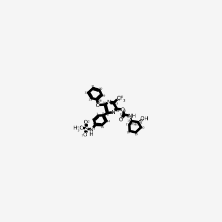 CS(=O)(=O)Nc1ccc(-c2nc(OC(=O)N[C@@H]3CCCC[C@H]3O)c(C(F)(F)F)nc2Oc2ccccc2)cc1